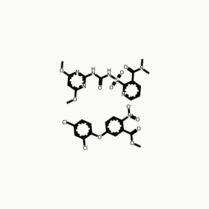 COC(=O)c1cc(Oc2ccc(Cl)cc2Cl)ccc1[N+](=O)[O-].COc1cc(OC)nc(NC(=O)NS(=O)(=O)c2ncccc2C(=O)N(C)C)n1